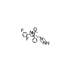 CC(=O)N1N=C(c2cc(F)ccc2F)C[C@]1(CCCN1CCNCC1)c1ccccc1